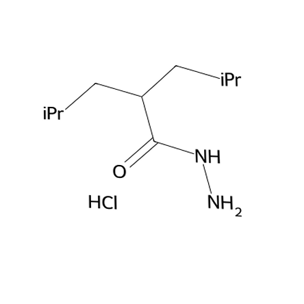 CC(C)CC(CC(C)C)C(=O)NN.Cl